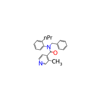 CCCc1ccccc1N(Cc1ccccc1)C(=O)c1ccncc1C